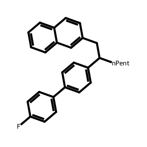 CCCCCC(Cc1ccc2ccccc2c1)c1ccc(-c2ccc(F)cc2)cc1